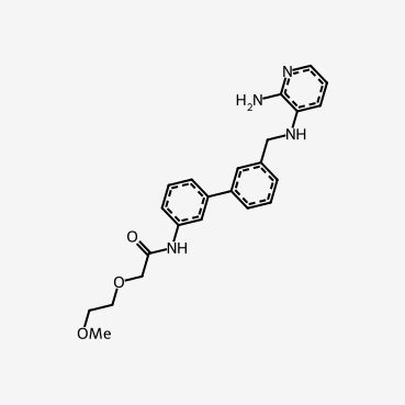 COCCOCC(=O)Nc1cccc(-c2cccc(CNc3cccnc3N)c2)c1